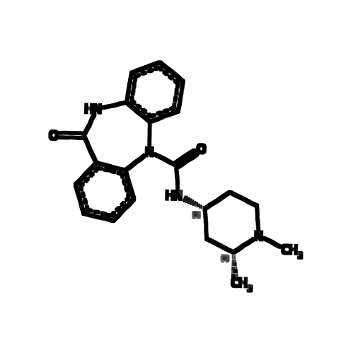 C[C@@H]1C[C@H](NC(=O)N2c3ccccc3NC(=O)c3ccccc32)CCN1C